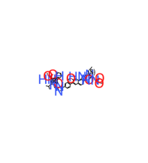 CC[C@H](C)N(Cc1nc2ccc3cc4c(cc3c2[nH]1)OCc1cc(-c2cnc(CN(CC(C)C)C(=O)[C@H](NC(=O)OC)c3ccccc3)[nH]2)ccc1-4)C(=O)CNC(=O)OC